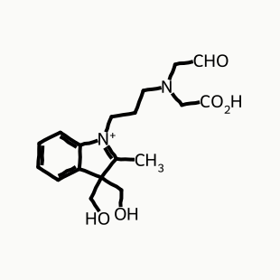 CC1=[N+](CCCN(CC=O)CC(=O)O)c2ccccc2C1(CO)CO